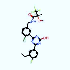 CCc1cc(-c2nc(O)nc(-c3cc(CNC(=O)[C@@](C)(OC)C(F)(F)F)ccc3Cl)n2)ccc1F